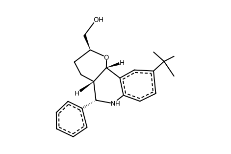 CC(C)(C)c1ccc2c(c1)[C@H]1O[C@H](CO)CC[C@H]1[C@@H](c1ccccc1)N2